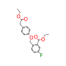 CCOC(=O)Cc1ccc(OCc2ccc(F)cc2C(=O)OCC)cc1